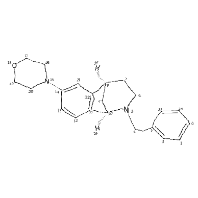 c1ccc(CN2CC[C@H]3C[C@@H]2c2ccc(N4CCOCC4)cc23)cc1